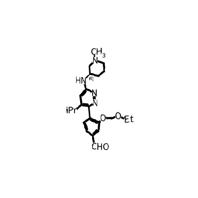 CCOCOc1cc(C=O)ccc1-c1nnc(N[C@@H]2CCCN(C)C2)cc1C(C)C